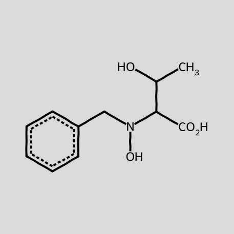 CC(O)C(C(=O)O)N(O)Cc1ccccc1